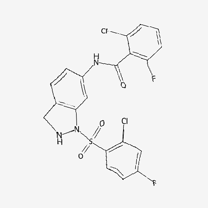 O=C(Nc1ccc2c(c1)N(S(=O)(=O)c1ccc(F)cc1Cl)NC2)c1c(F)cccc1Cl